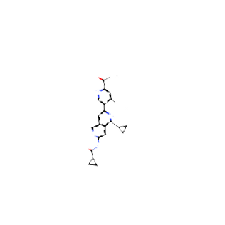 CCCC(=O)c1cc(C)c(-c2cc3cnc(NC(=O)C4CC4)cc3c(C3CC3)n2)cn1